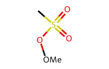 COOS(C)(=O)=O